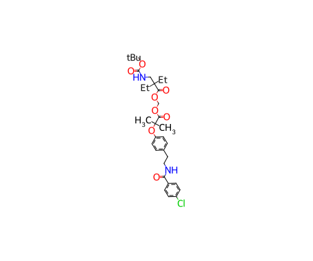 CCC(CC)(CNC(=O)OC(C)(C)C)C(=O)OCOC(=O)C(C)(C)Oc1ccc(CCNC(=O)c2ccc(Cl)cc2)cc1